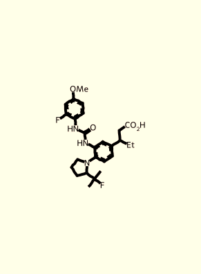 CCC(CC(=O)O)c1ccc(N2CCCC2C(C)(C)F)c(NC(=O)Nc2ccc(OC)cc2F)c1